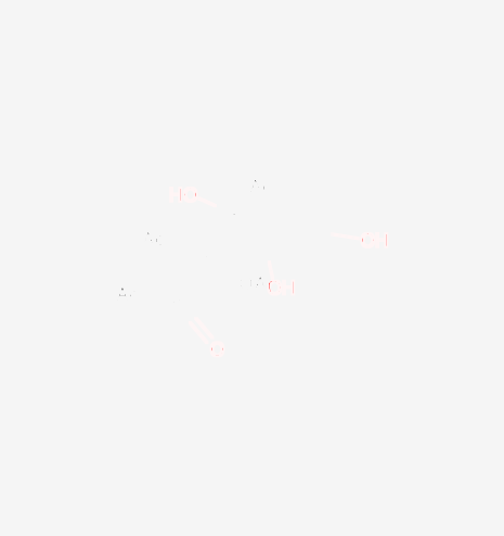 CC(=O)O[C@@](C(C)=O)(C(=O)C(C)=O)C(O)(C(C)=O)C(O)CO